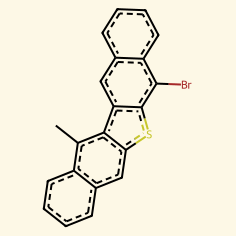 Cc1c2ccccc2cc2sc3c(Br)c4ccccc4cc3c12